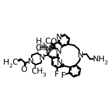 C=CC(=O)N1C[C@H](C)N(c2nc(=O)n3c4nc(c(F)cc24)-c2c(F)cccc2CN(CCN)CCc2ccnc(C(C)C)c2-3)C[C@H]1C